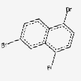 Brc1ccc2c(Br)ccc(Br)c2c1